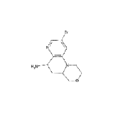 NC1CC2COCCN2c2cc(Br)cnc21